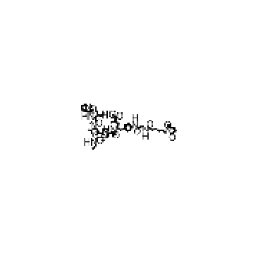 CCNC(=O)OC(CC(C(C)C)N(C)C(=O)C(NC(=O)[C@@]1(C)CCCN1C)C(C)CC)c1nc(C(=O)NC(Cc2ccc(NC(=O)CNC(=O)CCCCCN3C(=O)C=CC3=O)cc2)CC(C)C(=O)O)cs1